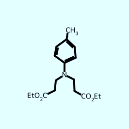 CCOC(=O)CCN(CCC(=O)OCC)c1ccc(C)cc1